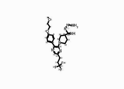 COCCOc1ccc(-c2ncc(CCC(F)(F)F)nc2N2CCC(C(=N)/N=N\N)CC2)cc1